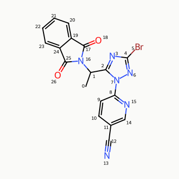 CC(c1nc(Br)nn1-c1ccc(C#N)cn1)N1C(=O)c2ccccc2C1=O